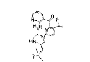 C=C(F)c1ccc(N2CCN[C@H](CC(C)(C)F)C2)nc1C(=O)c1cccnc1N